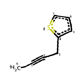 [CH2]C#CCc1cccs1